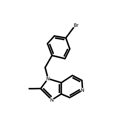 Cc1nc2cnccc2n1Cc1ccc(Br)cc1